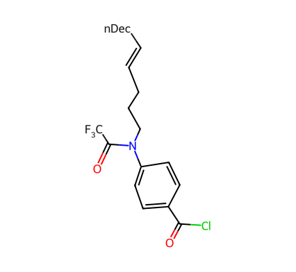 CCCCCCCCCC/C=C/CCCN(C(=O)C(F)(F)F)c1ccc(C(=O)Cl)cc1